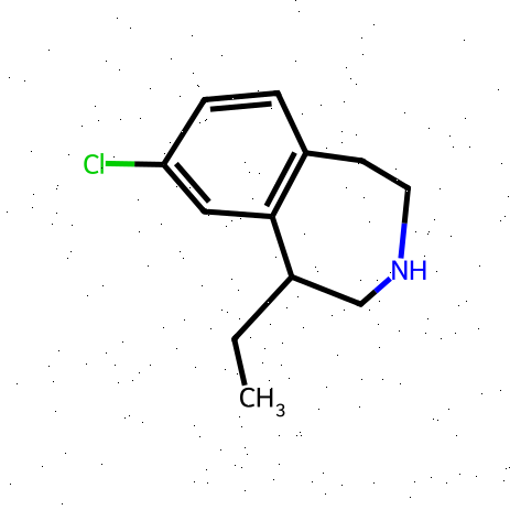 CCC1CNCCc2ccc(Cl)cc21